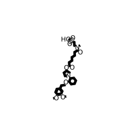 COc1ccc(CCO[C@@H]2CCCC[C@H]2N2CC[C@@H](OC(=O)CCCCCC(=O)N(C)CCS(=O)(=O)O)C2)cc1OC